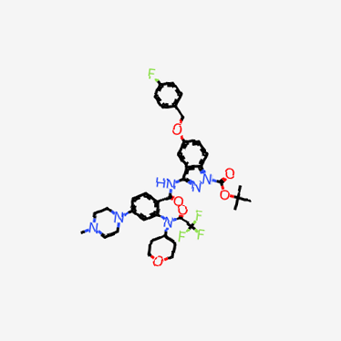 CN1CCN(c2ccc(C(=O)Nc3nn(C(=O)OC(C)(C)C)c4ccc(OCc5ccc(F)cc5)cc34)c(N(C(=O)C(F)(F)F)C3CCOCC3)c2)CC1